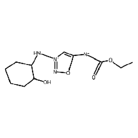 CCOC(=O)[N-]c1c[n+](NC2CCCCC2O)no1